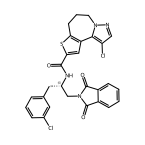 O=C(N[C@@H](Cc1cccc(Cl)c1)CN1C(=O)c2ccccc2C1=O)c1cc2c(s1)CCCn1ncc(Cl)c1-2